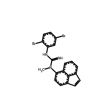 CN(C(=N)Nc1cc(Br)ccc1Br)c1ccc2c3c(cccc13)C=C2